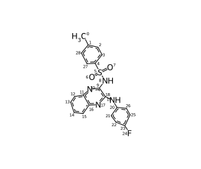 Cc1ccc(S(=O)(=O)Nc2nc3ccccc3nc2Nc2ccc(F)cc2)cc1